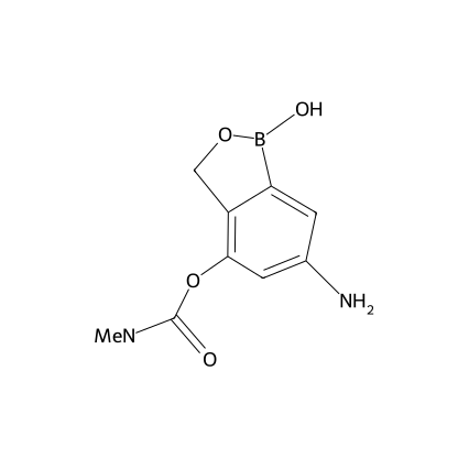 CNC(=O)Oc1cc(N)cc2c1COB2O